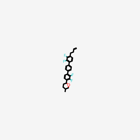 C=CCCc1ccc(-c2ccc(-c3ccc(C4CCC(C)CO4)c(F)c3F)cc2)c(F)c1F